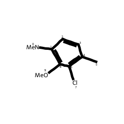 CNc1ccc(C)c(Cl)c1OC